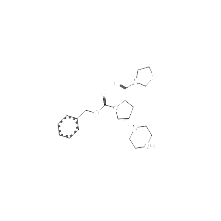 O=C([C@@H]1C[C@H](N2CCNCC2)CN1C(=O)OCc1ccccc1)N1CCSC1